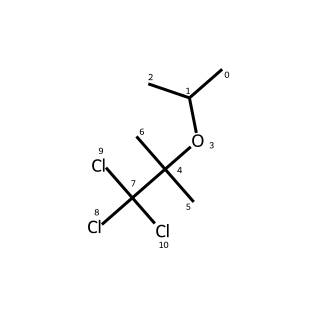 CC(C)OC(C)(C)C(Cl)(Cl)Cl